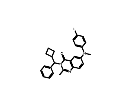 Cc1nc2ccc(N(C)c3ccc(F)cc3)cc2c(=O)n1C(c1ccccc1)C1CCC1